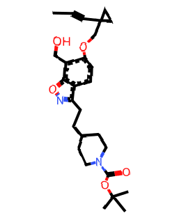 CC#CC1(COc2ccc3c(CCC4CCN(C(=O)OC(C)(C)C)CC4)noc3c2CO)CC1